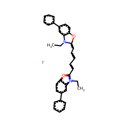 CCN1C(=CC=CC=Cc2oc3ccc(-c4ccccc4)cc3[n+]2CC)Oc2ccc(-c3ccccc3)cc21.[I-]